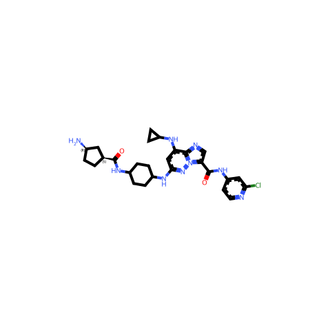 N[C@@H]1CC[C@H](C(=O)NC2CCC(Nc3cc(NC4CC4)c4ncc(C(=O)Nc5ccnc(Cl)c5)n4n3)CC2)C1